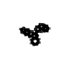 COC(=O)[C@H](NC(=O)c1cc2c(n(Cc3ccc4c(c3)OCO4)c1=O)CCCCCC2)c1ccccc1